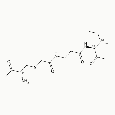 CC[C@H](C)[C@H](NC(=O)CCNC(=O)CSC[C@H](N)C(C)=O)C(=O)I